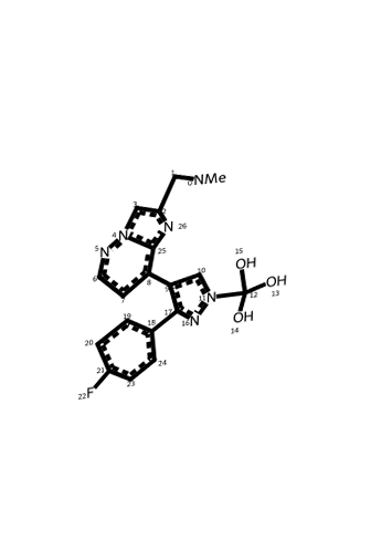 CNCc1cn2nccc(-c3cn(C(O)(O)O)nc3-c3ccc(F)cc3)c2n1